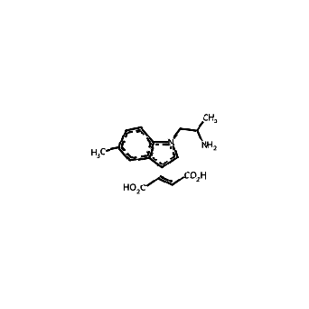 Cc1ccc2c(ccn2CC(C)N)c1.O=C(O)/C=C/C(=O)O